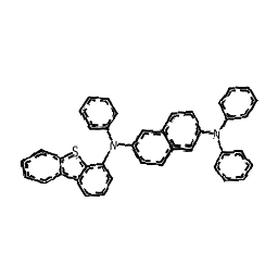 c1ccc(N(c2ccccc2)c2ccc3cc(N(c4ccccc4)c4cccc5c4sc4ccccc45)ccc3c2)cc1